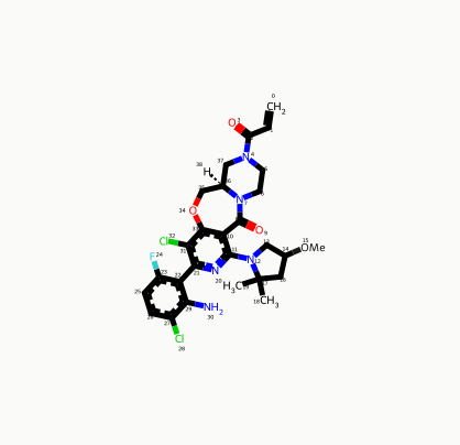 C=CC(=O)N1CCN2C(=O)c3c(N4CC(OC)CC4(C)C)nc(-c4c(F)ccc(Cl)c4N)c(Cl)c3OC[C@H]2C1